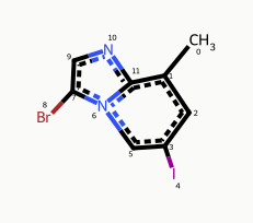 Cc1cc(I)cn2c(Br)cnc12